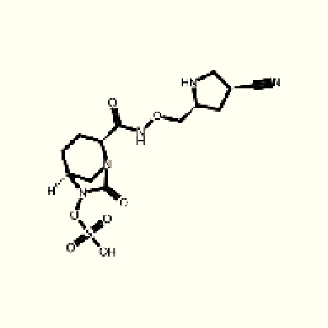 N#C[C@@H]1CN[C@H](CONC(=O)[C@@H]2CC[C@H]3CN2C(=O)N3OS(=O)(=O)O)C1